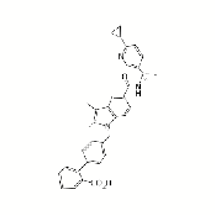 Cc1c(C)n(Cc2ccc(-c3ccccc3C(=O)O)cc2)c2ccc(C(=O)N[C@@H](C)c3ccc(C4CC4)nc3)cc12